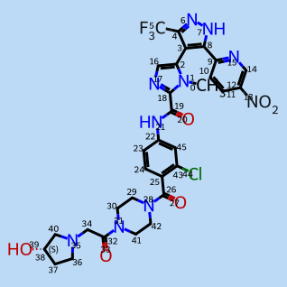 Cn1c(-c2c(C(F)(F)F)n[nH]c2-c2ccc([N+](=O)[O-])cn2)cnc1C(=O)Nc1ccc(C(=O)N2CCN(C(=O)CN3CC[C@H](O)C3)CC2)c(Cl)c1